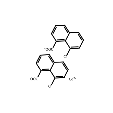 O=C([O-])c1cccc2cccc(Cl)c12.O=C([O-])c1cccc2cccc(Cl)c12.[Cd+2]